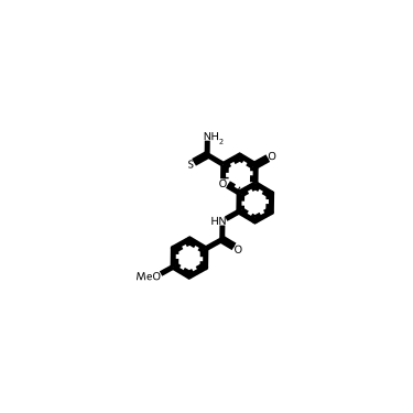 COc1ccc(C(=O)Nc2cccc3c(=O)cc(C(N)=S)oc23)cc1